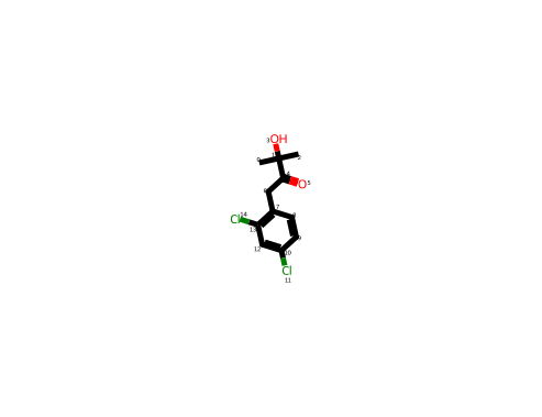 CC(C)(O)C(=O)Cc1ccc(Cl)cc1Cl